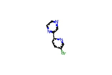 Brc1ccc(-c2cnccn2)nc1